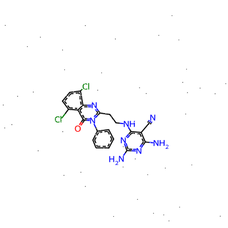 N#Cc1c(N)nc(N)nc1NCCc1nc2c(Cl)ccc(Cl)c2c(=O)n1-c1ccccc1